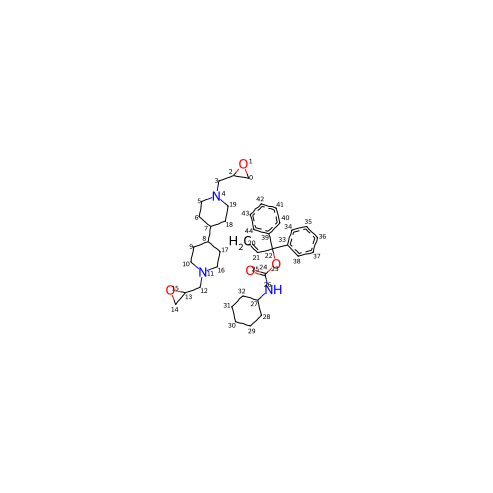 C1OC1CN1CCC(C2CCN(CC3CO3)CC2)CC1.C=CC(OC(=O)NC1CCCCC1)(c1ccccc1)c1ccccc1